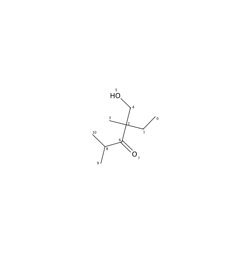 CCC(C)(CO)C(=O)C(C)C